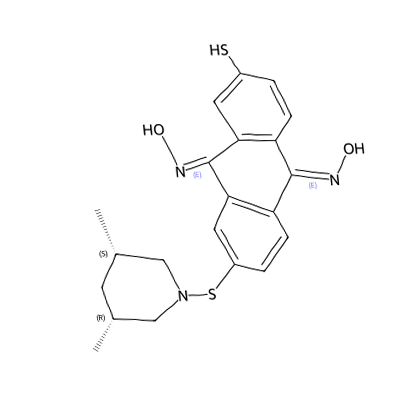 C[C@@H]1C[C@H](C)CN(Sc2ccc3c(c2)/C(=N/O)c2cc(S)ccc2/C3=N\O)C1